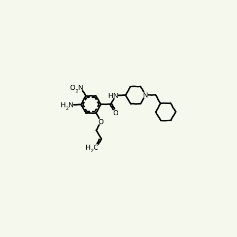 C=CCOc1cc(N)c([N+](=O)[O-])cc1C(=O)NC1CCN(CC2CCCCC2)CC1